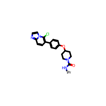 CC(C)NC(=O)N1CCC(Oc2ccc(-c3ccc4nccn4c3Cl)cc2)CC1